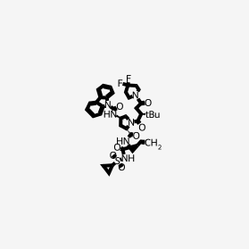 C=CC1CC1(NC(=O)[C@@H]1C[C@@H](NC(=O)n2c3ccccc3c3ccccc32)CN1C(=O)[C@@H](CC(=O)N1CCC(F)(F)CC1)C(C)(C)C)C(=O)NS(=O)(=O)C1CC1